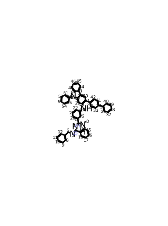 CN/C(=N\C(=N/Cc1ccccc1)c1ccccc1)c1cccc(Nc2cc3c(cc2-c2ccc(-c4ccccc4)cc2)c2ccccc2n3-c2ccccc2)c1